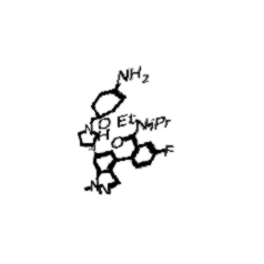 CCN(C(=O)c1cc(F)ccc1-c1cc([C@@H]2CCN(CC3(O)CCC(N)CC3)C2)cc2c1cnn2C)C(C)C